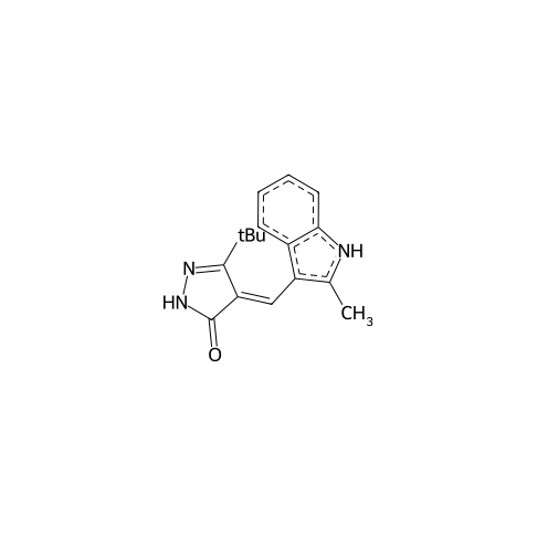 Cc1[nH]c2ccccc2c1C=C1C(=O)NN=C1C(C)(C)C